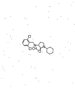 CN(Cc1c(Cl)cccc1Cl)C1CCN(C2CCCCC2)C1=O